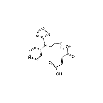 CCCN(c1ccncc1)n1cccn1.O=C(O)C=CC(=O)O